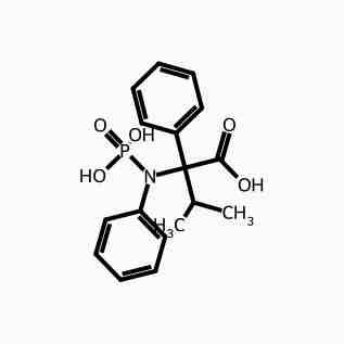 CC(C)C(C(=O)O)(c1ccccc1)N(c1ccccc1)P(=O)(O)O